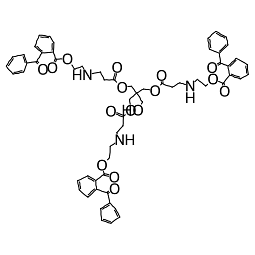 O=C(CCNCCOC(=O)c1ccccc1C(=O)c1ccccc1)OCC(CO)(COC(=O)CCNCCOC(=O)c1ccccc1C(=O)c1ccccc1)COC(=O)CCNCCOC(=O)c1ccccc1C(=O)c1ccccc1